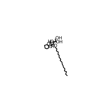 CCCCCCCCCCCCCCCCCCO[C@H]1[C@H]2OC3(CCCCC3)O[C@H]2O[C@@H]1[C@H](O)CO